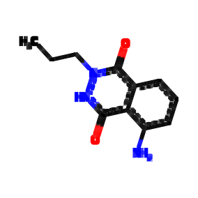 CCCn1[nH]c(=O)c2c(N)cccc2c1=O